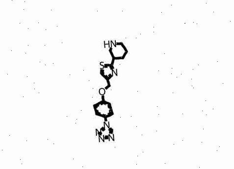 c1cc(-n2cnnn2)ccc1OCc1csc(C2CCCNC2)n1